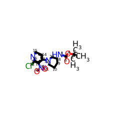 CC(C)(C)OC(=O)N[C@@H]1CCCN(c2ccnc(Cl)c2[N+](=O)[O-])C1